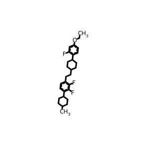 CCOc1ccc(C2CCC(CCc3ccc(C4CCC(C)CC4)c(F)c3F)CC2)c(F)c1